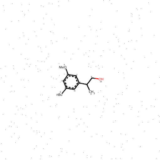 CCCCc1cc(OC)cc([C](C)CO)c1